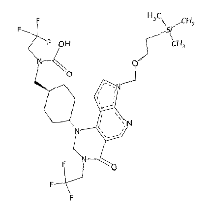 C[Si](C)(C)CCOCn1ccc2c3c(cnc21)C(=O)N(CC(F)(F)F)CN3[C@H]1CC[C@H](CN(CC(F)(F)F)C(=O)O)CC1